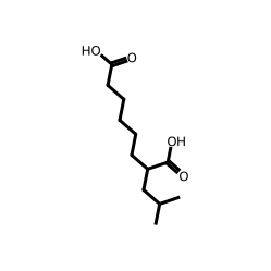 CC(C)CC(CCCCCC(=O)O)C(=O)O